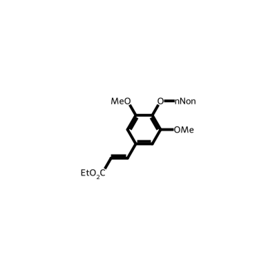 CCCCCCCCCOc1c(OC)cc(/C=C/C(=O)OCC)cc1OC